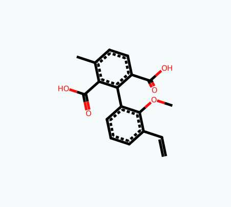 C=Cc1cccc(-c2c(C(=O)O)ccc(C)c2C(=O)O)c1OC